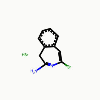 Br.NC1=NC(Br)=Cc2ccccc2C1